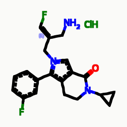 Cl.NC/C(=C\F)Cn1cc2c(c1-c1cccc(F)c1)CCN(C1CC1)C2=O